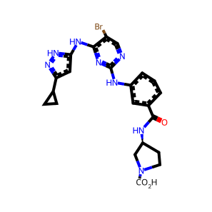 O=C(N[C@H]1CCN(C(=O)O)C1)c1cccc(Nc2ncc(Br)c(Nc3cc(C4CC4)n[nH]3)n2)c1